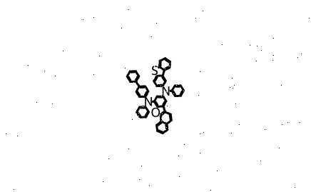 c1ccc(-c2ccc(N(c3ccccc3)c3cc(N(c4ccccc4)c4ccc5sc6ccccc6c5c4)cc4c3oc3c5ccccc5ccc43)cc2)cc1